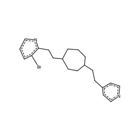 Brc1cccnc1CCC1CCCC(CCc2ccncc2)CC1